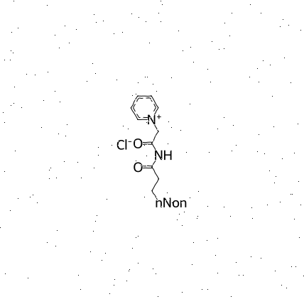 CCCCCCCCCCCC(=O)NC(=O)C[n+]1ccccc1.[Cl-]